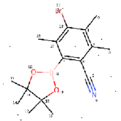 Cc1c(C)c(C#N)c(B2OC(C)(C)C(C)(C)O2)c(C)c1Br